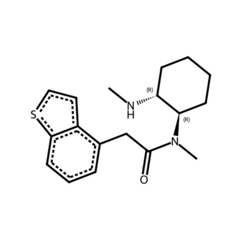 CN[C@@H]1CCCC[C@H]1N(C)C(=O)Cc1cccc2sccc12